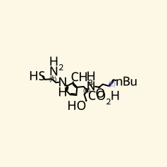 CCCC/C=C/CC(=O)N[C@@](CCO)(Cc1cccc(NC[C@@H](N)CS)c1C)C(=O)O